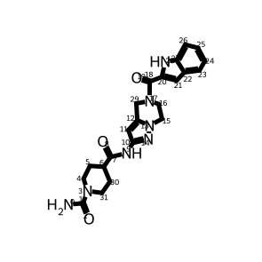 NC(=O)N1CCC(C(=O)Nc2cc3n(n2)CCN(C(=O)c2cc4ccccc4[nH]2)C3)CC1